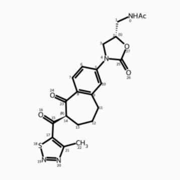 CC(=O)NC[C@H]1CN(c2ccc3c(c2)CCC[C@@H](C(=O)c2snnc2C)C3=O)C(=O)O1